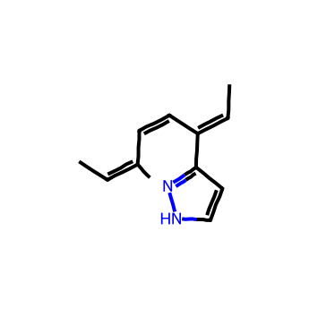 C\C=C(C)/C=C\C(=C/C)c1cc[nH]n1